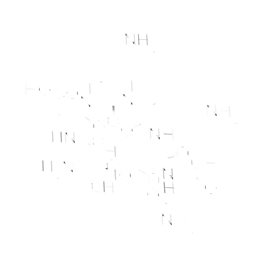 CC(C)[C@H](N)C(=O)N[C@@H](CC(=O)O)C(=O)N[C@@H](CCCCN)C(=O)N[C@@H](CCCCN)C(=O)N[C@@H](CC(=O)O)C(=O)N[C@@H](CC(N)=O)C(=O)O